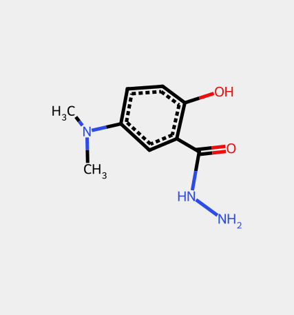 CN(C)c1ccc(O)c(C(=O)NN)c1